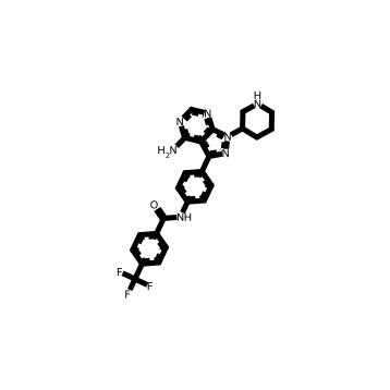 Nc1ncnc2c1c(-c1ccc(NC(=O)c3ccc(C(F)(F)F)cc3)cc1)nn2C1CCCNC1